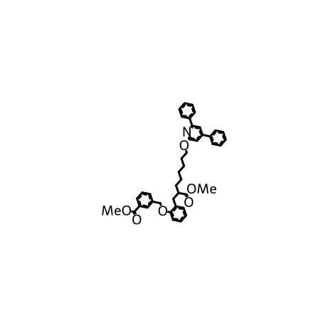 COC(=O)c1cccc(COc2ccccc2CC(CCCCCCOc2cc(-c3ccccc3)cc(-c3ccccc3)n2)C(=O)OC)c1